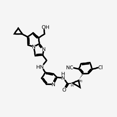 N#Cc1ccc(Cl)cc1[C@@H]1C[C@H]1C(=O)Nc1cc(NCc2cn3cc(C4CC4)cc(CO)c3n2)ccn1